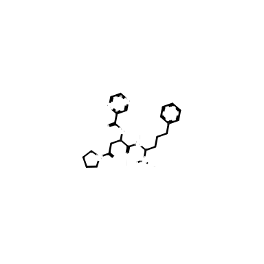 O=C(NC(CC(=O)N1CCCC1)C(=O)NC(CCCc1ccccc1)B(O)O)c1cnccn1